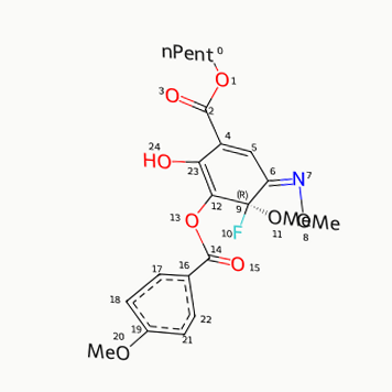 CCCCCOC(=O)C1=CC(=NOC)[C@](F)(OC)C(OC(=O)c2ccc(OC)cc2)=C1O